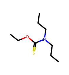 CCCN(CCC)C(=S)OCC